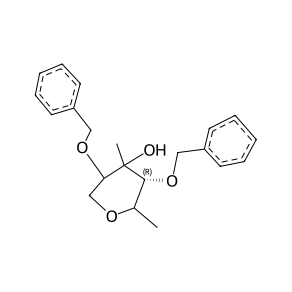 CC1OCC(OCc2ccccc2)C(C)(O)[C@@H]1OCc1ccccc1